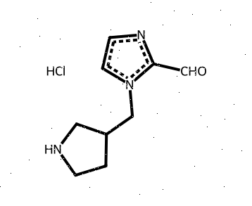 Cl.O=Cc1nccn1CC1CCNC1